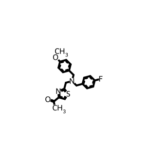 COc1ccc(CN(Cc2ccc(F)cc2)Cc2nc(C(C)=O)cs2)cc1